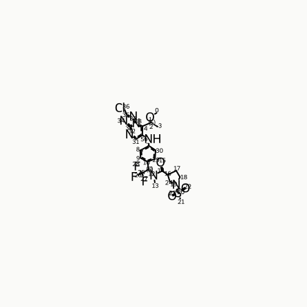 CO[C@@H](C)c1c(Nc2ccc([C@H](N(C)C(=O)C3CCN(S(C)(=O)=O)C3)C(F)(F)F)cc2)cnc2nc(Cl)nn12